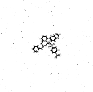 O=[N+]([O-])c1ccc(S(=O)(=O)N(CCN(Cc2ccccn2)Cc2ccccn2)c2ccc3ncsc3c2)cc1